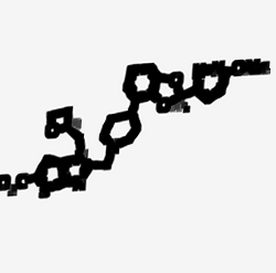 COc1ccc([C@]2(C)Oc3cccc(C4CCN(Cc5nc6sc(C(=O)O)cc6n5C[C@@H]5CCO5)CC4)c3O2)nn1